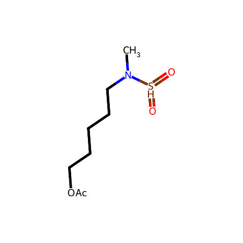 CC(=O)OCCCCCN(C)[SH](=O)=O